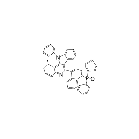 C[C@@H]1CC=Cc2nc(-c3ccc(P(=O)(c4ccccc4)c4ccccc4)c4ccccc34)c3c4ccccc4n(-c4ccccc4)c3c21